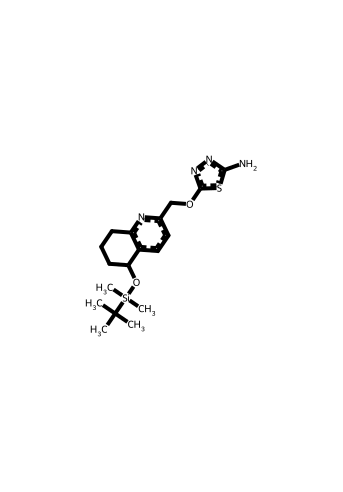 CC(C)(C)[Si](C)(C)OC1CCCc2nc(COc3nnc(N)s3)ccc21